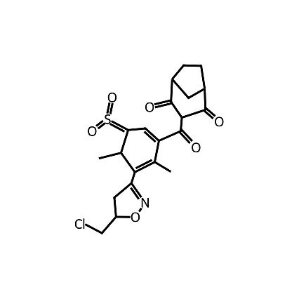 CC1=C(C2=NOC(CCl)C2)C(C)C(=S(=O)=O)C=C1C(=O)C1C(=O)C2CCC(C2)C1=O